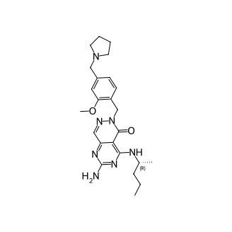 CCC[C@@H](C)Nc1nc(N)nc2cnn(Cc3ccc(CN4CCCC4)cc3OC)c(=O)c12